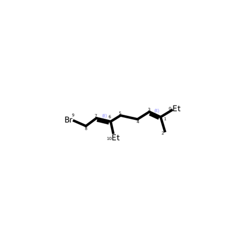 CC/C(C)=C/CC/C(=C/CBr)CC